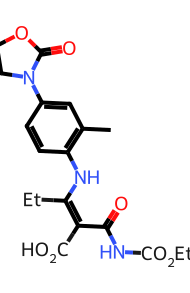 CCOC(=O)NC(=O)C(C(=O)O)=C(CC)Nc1ccc(N2CCOC2=O)cc1C